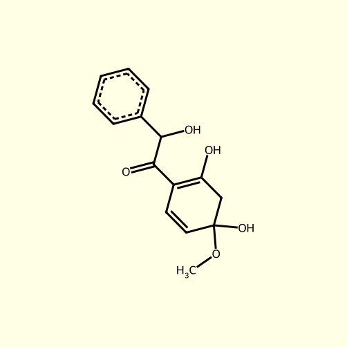 COC1(O)C=CC(C(=O)C(O)c2ccccc2)=C(O)C1